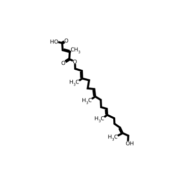 C/C(=C\CC/C(C)=C/CC/C(C)=C/CC/C(C)=C/COC(=O)/C(C)=C/C(=O)O)CO